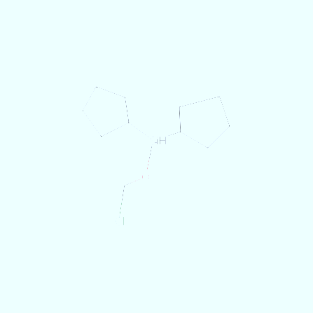 ClCO[SiH](C1CCCC1)C1CCCC1